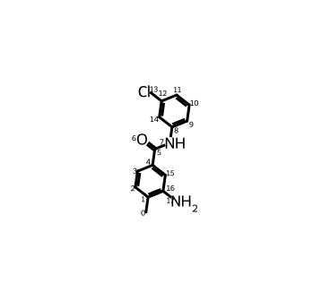 Cc1ccc(C(=O)Nc2cccc(Cl)c2)cc1N